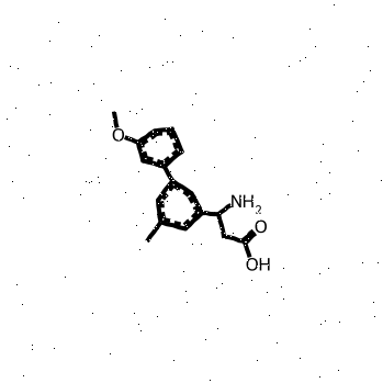 COc1cccc(-c2cc(C)cc(C(N)CC(=O)O)c2)c1